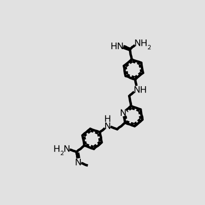 C/N=C(/N)c1ccc(NCc2cccc(CNc3ccc(C(=N)N)cc3)n2)cc1